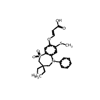 CCC1(CC)CN(c2ccccc2)c2cc(SC)c(OC=CC(=O)O)cc2S(=O)(=O)C1